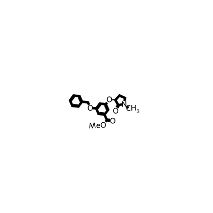 COC(=O)c1cc(OCc2ccccc2)cc(O[C@H]2CCN(C)C2=O)c1